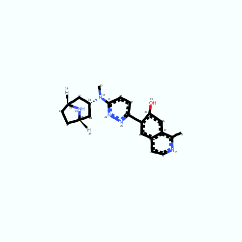 Cc1nccc2cc(-c3ccc(N(C)[C@H]4C[C@H]5CC[C@@H](C4)N5)nn3)c(O)cc12